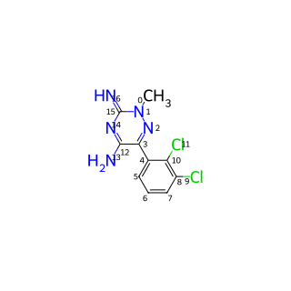 Cn1nc(-c2cccc(Cl)c2Cl)c(N)nc1=N